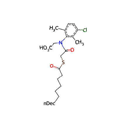 CCCCCCCCCCCCCCCC(=O)SCC(=O)N(CC(=O)O)c1c(C)ccc(Cl)c1C